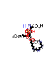 CC/C=C\C/C=C\C/C=C\C/C=C\CCCCC(=O)OC[C@H](COP(=O)(O)OC[C@H](N)C(=O)O)OC(=O)CCCCCCCCCCCC